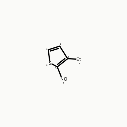 CCc1ccsc1N=O